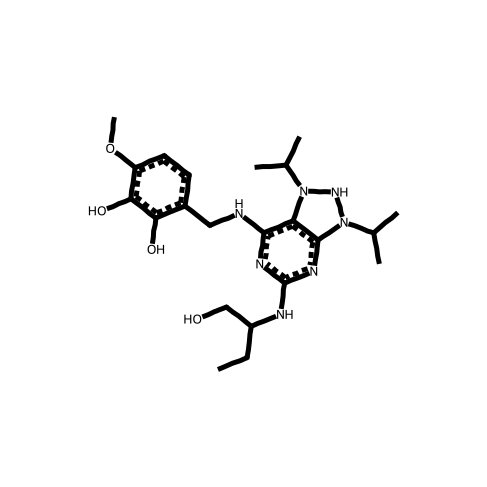 CCC(CO)Nc1nc(NCc2ccc(OC)c(O)c2O)c2c(n1)N(C(C)C)NN2C(C)C